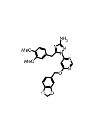 COc1ccc(Cc2nc(N)nn2-c2cc(OCc3ccc4c(c3)OCO4)ncn2)cc1OC